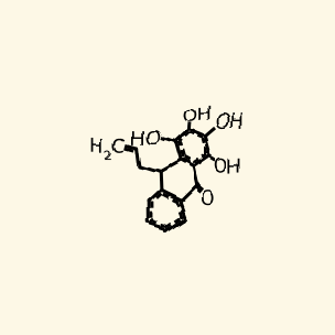 C=CCC1c2ccccc2C(=O)c2c(O)c(O)c(O)c(O)c21